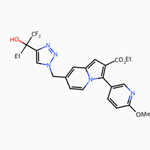 CCOC(=O)c1cc2cc(Cn3cc(C(O)(CC)C(F)(F)F)nn3)ccn2c1-c1ccc(OC)nc1